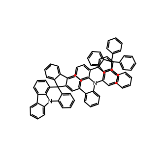 c1ccc(-c2cccc(-c3ccccc3N(c3ccccc3-c3ccc4c(c3)C3(c5ccccc5-4)c4ccccc4-n4c5ccccc5c5cccc3c54)c3cccc4c3-c3ccccc3C4(c3ccccc3)c3ccccc3)c2)cc1